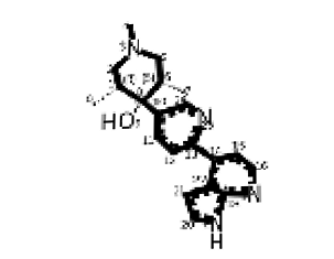 C[C@@H]1CN(C)C[C@H](C)[C@@]1(O)c1ccc(-c2ccnc3[nH]ccc23)nc1